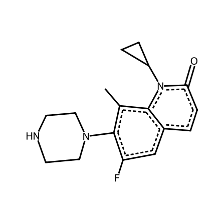 Cc1c(N2CCNCC2)c(F)cc2ccc(=O)n(C3CC3)c12